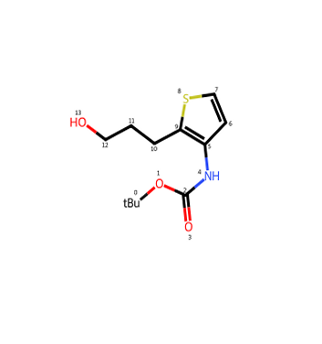 CC(C)(C)OC(=O)Nc1ccsc1CCCO